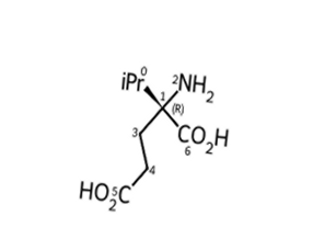 CC(C)[C@](N)(CCC(=O)O)C(=O)O